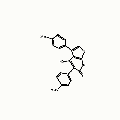 COc1ccc(-c2c(O)c3c(-c4ccc(OC)cc4)csc3[nH]c2=O)cc1